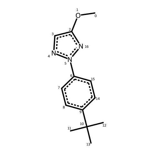 COc1cnn(-c2ccc(C(C)(C)C)cc2)n1